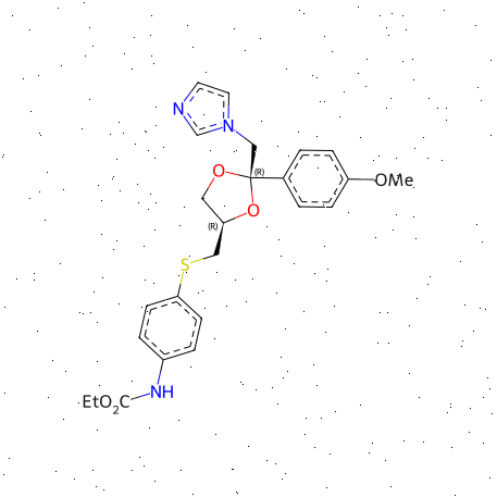 CCOC(=O)Nc1ccc(SC[C@H]2CO[C@](Cn3ccnc3)(c3ccc(OC)cc3)O2)cc1